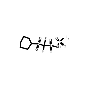 O=S(=O)(NS(=O)(=O)C(F)(F)S(=O)(=O)C1CCCCC1)C(F)(F)F